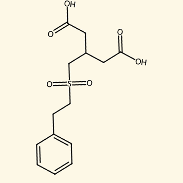 O=C(O)CC(CC(=O)O)CS(=O)(=O)CCc1ccccc1